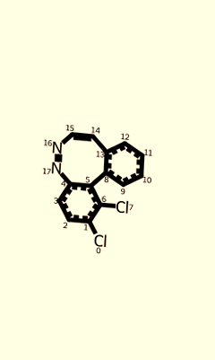 Clc1ccc2c(c1Cl)-c1ccccc1C=CN=N2